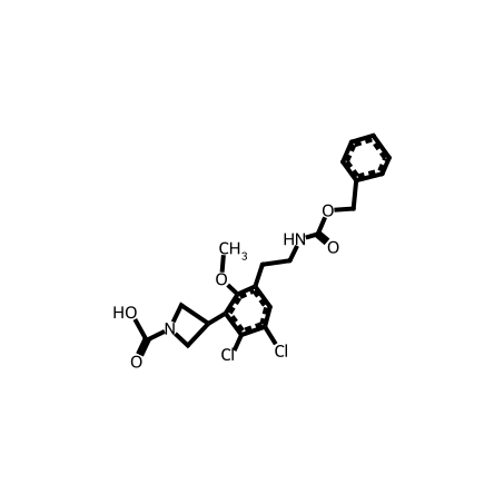 COc1c(CCNC(=O)OCc2ccccc2)cc(Cl)c(Cl)c1C1CN(C(=O)O)C1